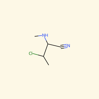 CNC(C#N)C(C)Cl